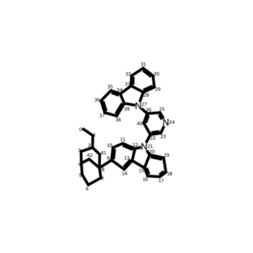 CCC1CC2CCCC(c3ccc4c(c3)c3ccccc3n4-c3cncc(-n4c5ccccc5c5ccccc54)c3)(C1)C2